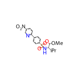 COC(=O)C(NS(=O)(=O)c1ccc(-c2ccc([N+](=O)[O-])cn2)cc1)C(C)C